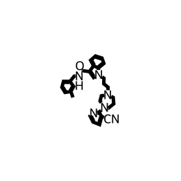 Cc1cccc(CNC(=O)c2cn(CCCN3CCCN(c4ncccc4C#N)CC3)c3ccccc23)c1